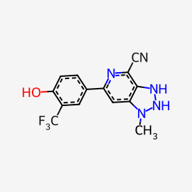 CN1NNc2c1cc(-c1ccc(O)c(C(F)(F)F)c1)nc2C#N